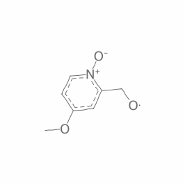 COc1cc[n+]([O-])c(C[O])c1